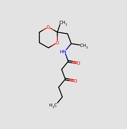 CCCC(=O)CC(=O)NC(C)CC1(C)OCCCO1